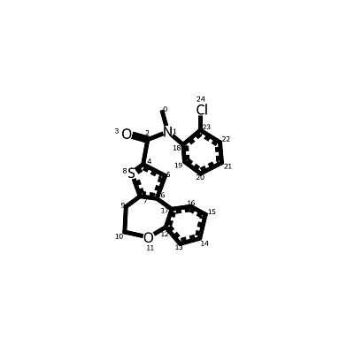 CN(C(=O)c1cc2c(s1)CCOc1ccccc1-2)c1ccccc1Cl